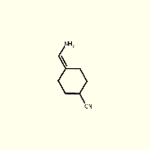 N#CC1CCC(=CN)CC1